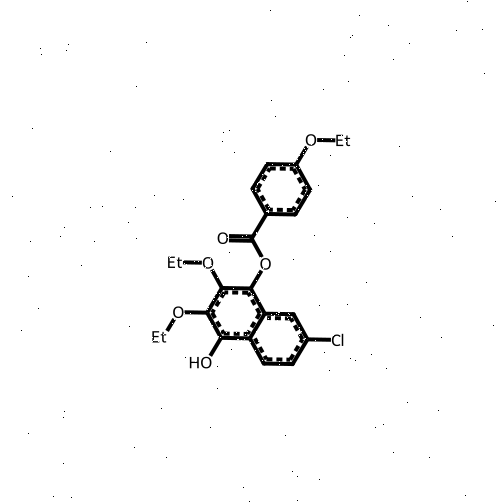 CCOc1ccc(C(=O)Oc2c(OCC)c(OCC)c(O)c3ccc(Cl)cc23)cc1